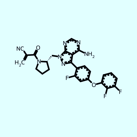 C=C(C#N)C(=O)N1CCC[C@H]1Cn1nc(-c2ccc(Oc3cccc(F)c3F)cc2F)c2c(N)ncnc21